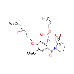 C=CCOC(=O)N1c2cc(OCCCC(=O)COC)c(OC)cc2C(=O)N2CCCC[C@H]2C1O